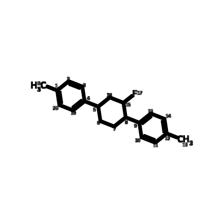 Cc1ccc(C2CCC(c3ccc(C)cc3)C(F)C2)cc1